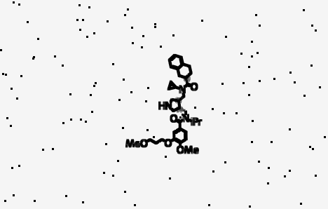 COCCCOc1cc(C(=O)N(C[C@@H]2CNC[C@H]2CN(C(=O)[C@@H]2CCc3ccccc3C2)C2CC2)C(C)C)ccc1OC